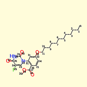 CCCCCCCCCCCCOc1ccc(C(=O)OC)c(-n2cc(F)c(=O)[nH]c2=O)c1